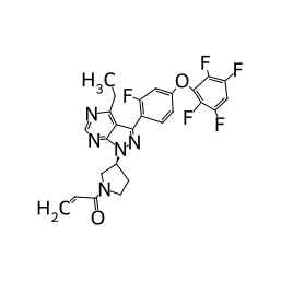 C=CC(=O)N1CC[C@H](n2nc(-c3ccc(Oc4c(F)c(F)cc(F)c4F)cc3F)c3c(CC)ncnc32)C1